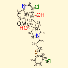 COc1ccc2ncc(Cl)c([C@@H](O)CCC3(CO)CCN(CCCSc4cccc(Cl)c4)CC3)c2c1